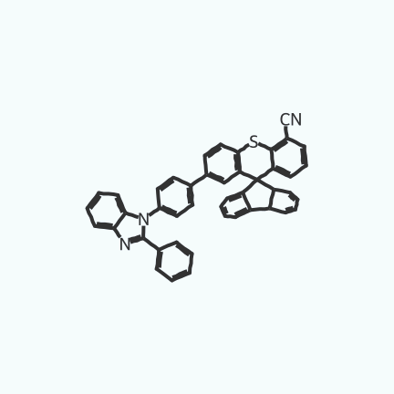 N#Cc1cccc2c1Sc1ccc(-c3ccc(-n4c(-c5ccccc5)nc5ccccc54)cc3)cc1C21c2ccccc2C2C=CC=CC21